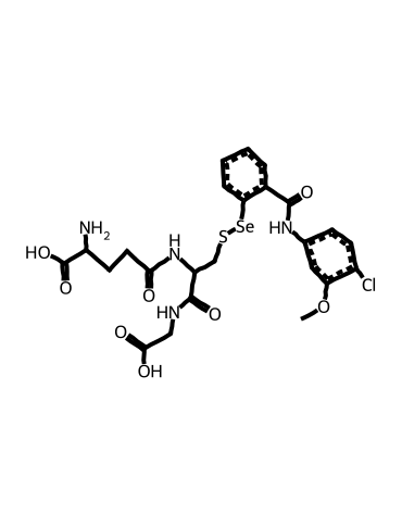 COc1cc(NC(=O)c2ccccc2[Se]SCC(NC(=O)CCC(N)C(=O)O)C(=O)NCC(=O)O)ccc1Cl